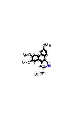 COc1ccc2c3c(c4cc(OC)c(OC)cc4c2c1)C[C@@H](CC=O)NC3